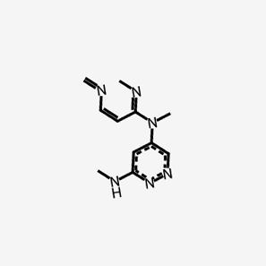 C=N/C=C\C(=N/C)N(C)c1cnnc(NC)c1